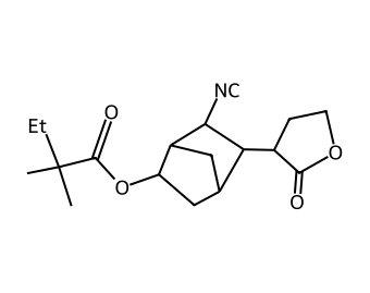 [C-]#[N+]C1C2CC(CC2OC(=O)C(C)(C)CC)C1C1CCOC1=O